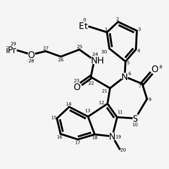 CCc1cccc(N2C(=O)CSc3c(c4ccccc4n3C)C2C(=O)NCCCOC(C)C)c1